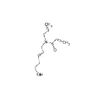 C=CCN(C/C=C/CCO)C(=O)C=C